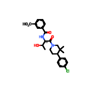 CC(O)[C@@H](NC(=O)c1cccc(C(=O)O)c1)C(=O)N1CCC(c2ccc(Cl)cc2)C(C)(C)C1